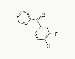 O=C(c1ccccc1)c1ccc(Cl)c(F)c1